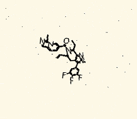 CCC1Cc2c(nn(C)c2-c2cc(F)c(F)c(F)c2)C(CC)N1C(=O)c1ccc2cnc(C)n2c1